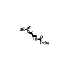 CC(C)(C)OC(=O)NCCC=N[S@+]([O-])C(C)(C)C